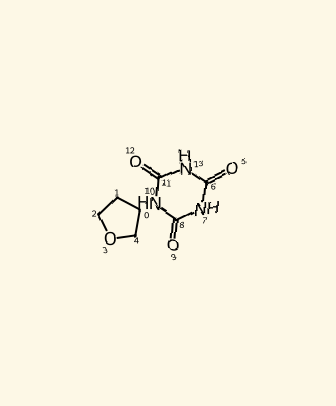 C1CCOC1.O=c1[nH]c(=O)[nH]c(=O)[nH]1